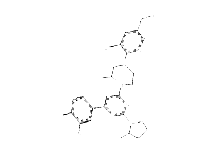 CC1CN(c2ncc(CO)cc2Cl)CCN1c1cc(-c2ccc(F)c(Cl)c2)nc(N2CCCC2C)n1